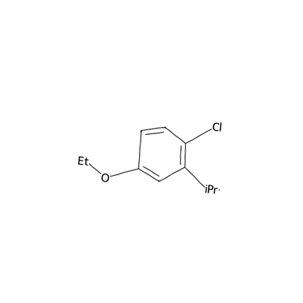 CCOc1ccc(Cl)c([C](C)C)c1